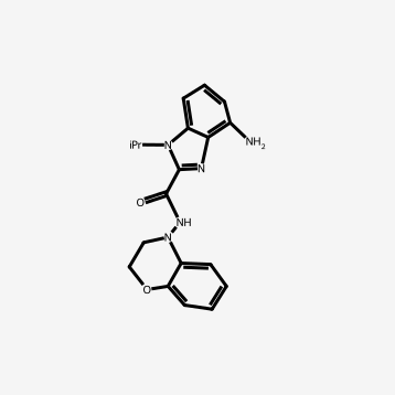 CC(C)n1c(C(=O)NN2CCOc3ccccc32)nc2c(N)cccc21